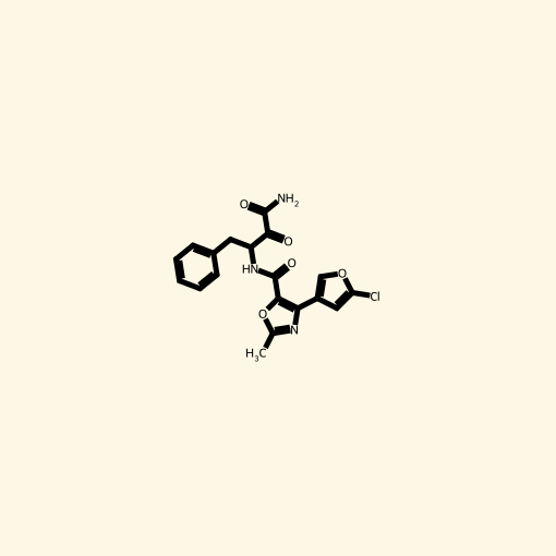 Cc1nc(-c2coc(Cl)c2)c(C(=O)NC(Cc2ccccc2)C(=O)C(N)=O)o1